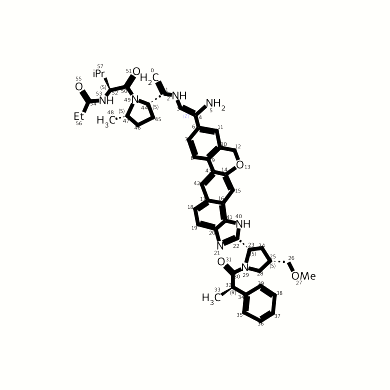 C=C(N/C=C(\N)c1ccc2c(c1)COc1cc3c(ccc4nc([C@@H]5C[C@H](COC)CN5C(=O)[C@H](C)c5ccccc5)[nH]c43)cc1-2)[C@@H]1CC[C@H](C)N1C(=O)[C@@H](NC(=O)CC)C(C)C